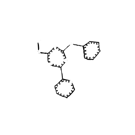 CC(C)Nc1nc(Nc2ccccc2)nc(-c2ccccn2)n1